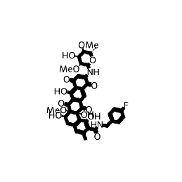 CO[C@@H]1[C@@H](O)[C@@H](OC)C(NC2=CC(=O)c3c(cc4c(c3O)C(=O)[C@]3(OC)[C@H](O)Cc5cc(C)c(C(=O)NCc6ccc(F)cc6)c(O)c5[C@]3(O)C4=O)C2=O)O[C@H]1C